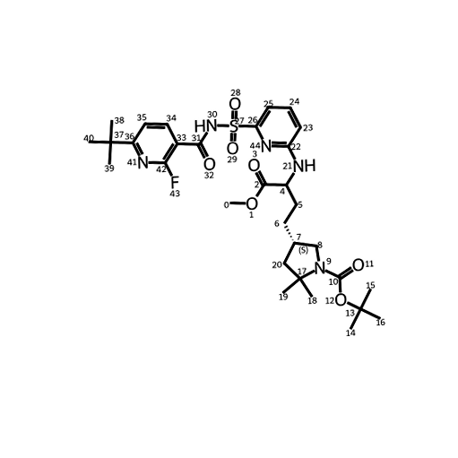 COC(=O)C(CC[C@@H]1CN(C(=O)OC(C)(C)C)C(C)(C)C1)Nc1cccc(S(=O)(=O)NC(=O)c2ccc(C(C)(C)C)nc2F)n1